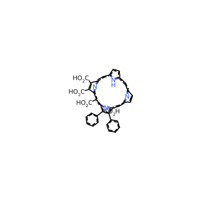 O=C(O)C1=C(C(=O)O)c2nc1cc1ccc(cc3nc(cc4c(-c5ccccc5)c(-c5ccccc5)c(c2C(=O)O)n4C(=O)O)C=C3)[nH]1